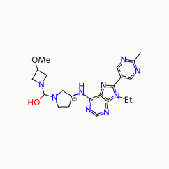 CCn1c(-c2cnc(C)nc2)nc2c(N[C@H]3CCN(C(O)N4CC(OC)C4)C3)ncnc21